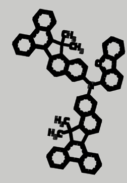 CC1(C)c2c(ccc3cc(N(c4ccc5c6c(ccc5c4)-c4c(c5ccccc5c5ccccc45)C6(C)C)c4cccc5c4oc4ccccc45)ccc23)-c2c1c1ccccc1c1ccccc21